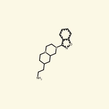 NCCC1CCN2CCN(c3noc4ccccc34)CC2C1